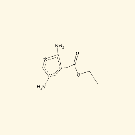 CCOC(=O)c1cc(N)cnc1N